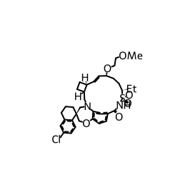 CC[C@H]1CC[C@H](OCCOC)/C=C/[C@@H]2CC[C@H]2CN2C[C@@]3(CCCc4cc(Cl)ccc43)COc3ccc(cc32)C(=O)NS1(=O)=O